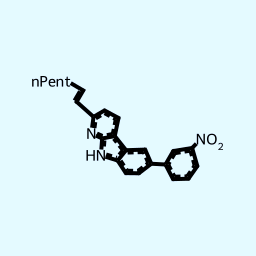 CCCCCC=Cc1ccc2c(n1)[nH]c1ccc(-c3cccc([N+](=O)[O-])c3)cc12